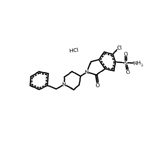 Cl.NS(=O)(=O)c1cc2c(cc1Cl)CN(C1CCN(Cc3ccccc3)CC1)C2=O